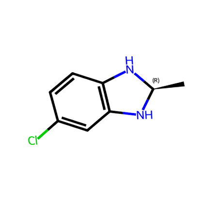 C[C@@H]1Nc2ccc(Cl)cc2N1